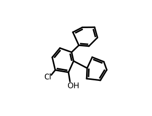 Oc1c(Cl)ccc(-c2ccccc2)c1-c1ccccc1